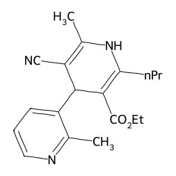 CCCC1=C(C(=O)OCC)C(c2cccnc2C)C(C#N)=C(C)N1